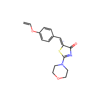 C=COc1ccc(/C=C2\SC(N3CCOCC3)=NC2=O)cc1